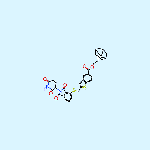 O=C(OCCC12CC3CC(CC(C3)C1)C2)c1ccc2sc(CSc3cccc4c3C(=O)N(C3CCC(=O)N(I)C3=O)C4=O)cc2c1